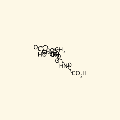 C[C@@H]1CC2C3CCC4=CC(=O)C=CC4(C)C3C(O)CC2(C)[C@@]1(O)C(=O)COC(=O)CCCNC(=O)CCCC(=O)O